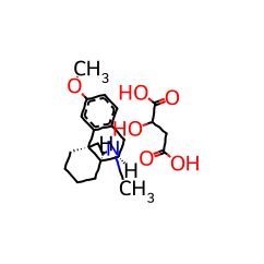 COc1ccc2c(c1)[C@]13CCCC[C@@H]1[C@H](C2)N(C)CC3.O=C(O)CC(O)C(=O)O